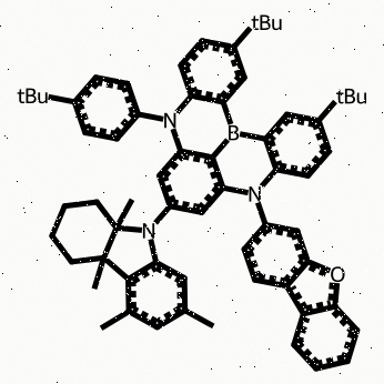 Cc1cc(C)c2c(c1)N(c1cc3c4c(c1)N(c1ccc5c(c1)oc1ccccc15)c1ccc(C(C)(C)C)cc1B4c1cc(C(C)(C)C)ccc1N3c1ccc(C(C)(C)C)cc1)C1(C)CCCCC21C